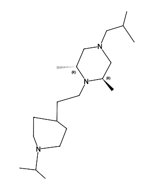 CC(C)CN1C[C@@H](C)N(CCC2CCN(C(C)C)CC2)[C@H](C)C1